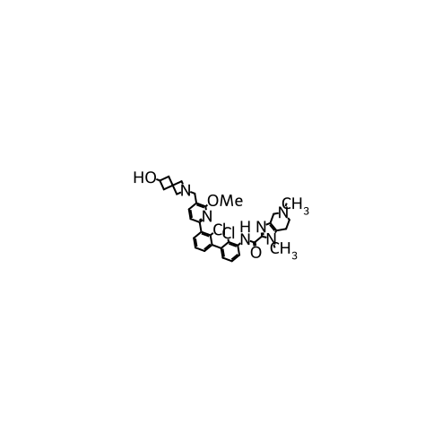 COc1nc(-c2cccc(-c3cccc(NC(=O)c4nc5c(n4C)CCN(C)C5)c3Cl)c2Cl)ccc1CN1CC2(CC(O)C2)C1